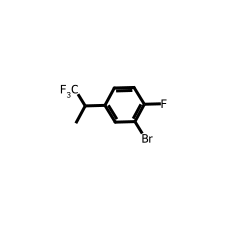 CC(c1ccc(F)c(Br)c1)C(F)(F)F